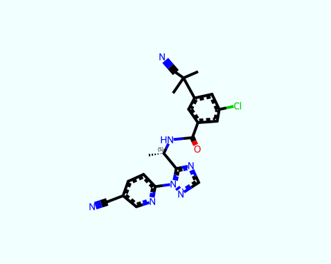 C[C@H](NC(=O)c1cc(Cl)cc(C(C)(C)C#N)c1)c1ncnn1-c1ccc(C#N)cn1